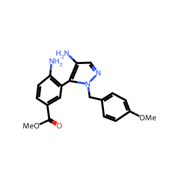 COC(=O)c1ccc(N)c(-c2c(N)cnn2Cc2ccc(OC)cc2)c1